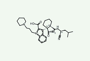 CC(C)C[C@@H](C#N)NC(=O)[C@@H]1CCCC[C@@]1(C(N)=O)c1c(C(=O)O)n(CCCN2CCCCC2)c2ccccc12